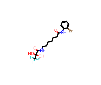 O=C(CCCCCCNC(=O)C(O)(O)C(F)(F)F)Nc1ccccc1Br